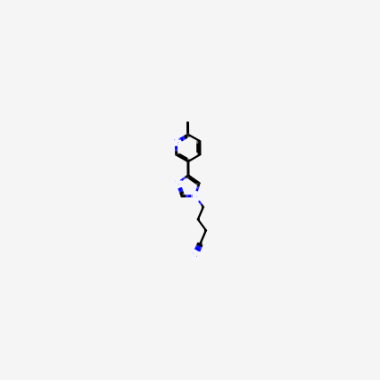 Cc1ccc(-c2cn(CCCC#N)cn2)cn1